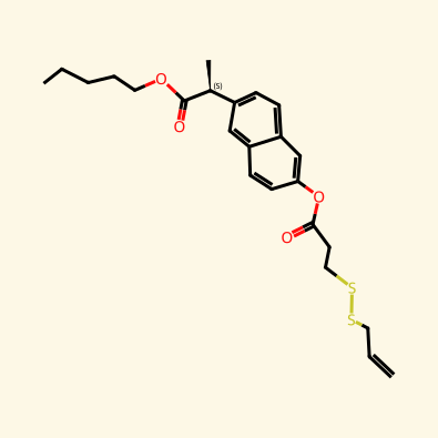 C=CCSSCCC(=O)Oc1ccc2cc([C@H](C)C(=O)OCCCCC)ccc2c1